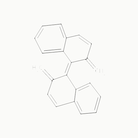 C=c1ccc2ccccc2c1=c1c(=C)ccc2ccccc12